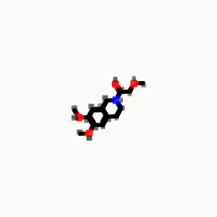 COCC(=O)N1CCc2cc(OC)c(OC)cc2C1